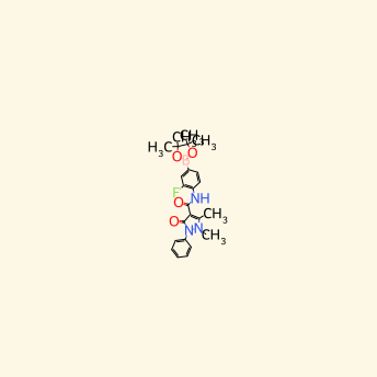 Cc1c(C(=O)Nc2ccc(B3OC(C)(C)C(C)(C)O3)cc2F)c(=O)n(-c2ccccc2)n1C